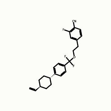 C=C[C@H]1CC[C@H](c2ccc(C(F)(F)OCCc3ccc(C#N)c(F)c3)cc2)CC1